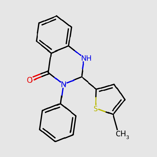 Cc1ccc(C2Nc3ccccc3C(=O)N2c2ccccc2)s1